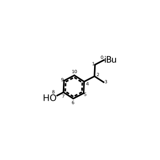 CCC(C)CC(C)c1ccc(O)cc1